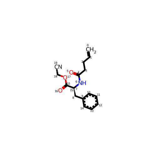 C=CCCC(=O)N[C@@H](Cc1ccccc1)C(=O)OCC#N